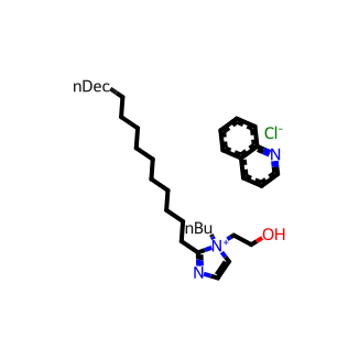 CCCCCCCCCCCCCCCCCCCCC1=NC=C[N+]1(CCO)CCCC.[Cl-].c1ccc2ncccc2c1